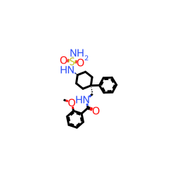 COc1ccccc1C(=O)NC[C@]1(c2ccccc2)CC[C@H](NS(N)(=O)=O)CC1